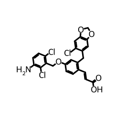 Nc1ccc(Cl)c(COc2ccc(/C=C/C(=O)O)c(Cc3cc4c(cc3Cl)OCO4)c2)c1Cl